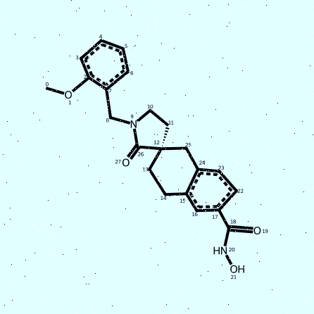 COc1ccccc1CN1CC[C@]2(CCc3cc(C(=O)NO)ccc3C2)C1=O